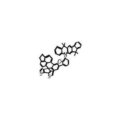 CC1(C)c2ccccc2-c2cc3c(cc21)N(c1cccc2c1oc1c4c(ccc12)C1(c2ccsc2-c2sccc21)c1ccc2c5c(ccc-4c15)CC2)c1ccccc1C3(C)C